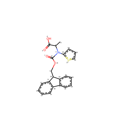 CC(C(=O)O)N(C(=O)OCC1c2ccccc2-c2ccccc21)c1cccs1